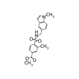 COC(=O)c1ccc(S(=O)(=O)NCc2ccc3c(ccn3C)c2)c(C)c1